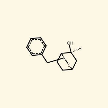 O[C@H]1CC2CCC1N(Cc1ccccc1)C2